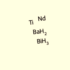 [BaH2].[BiH3].[Nd].[Ti]